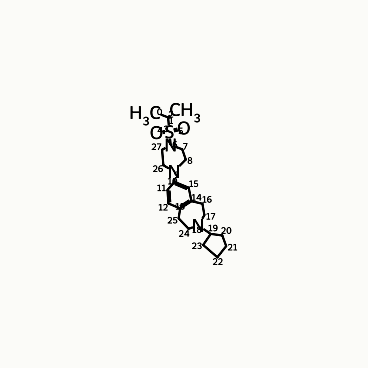 CC(C)S(=O)(=O)N1CCN(c2ccc3c(c2)CCN(C2CCCC2)CC3)CC1